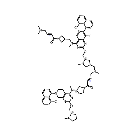 CN(C)C/C=C/C(=O)N1CC(CN(C)c2nc(OC[C@@H]3CC(CN(C)C/C=C/C(=O)N4CC[C@@H](N(C)c5nc(OC[C@@H]6CCCN6C)nc6c5CCN(c5cccc7cccc(Cl)c57)C6)C4)CN3C)nc3c(F)c(-c4cccc5cccc(Cl)c45)ncc23)C1